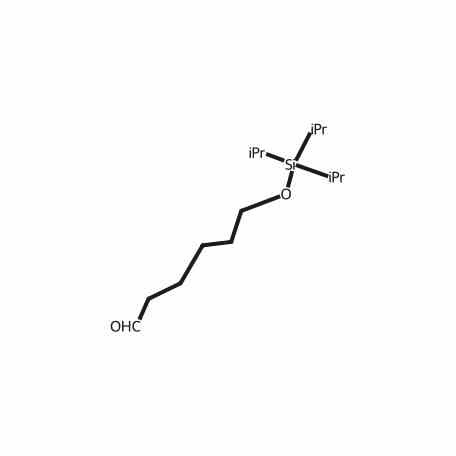 CC(C)[Si](OCCCCCC=O)(C(C)C)C(C)C